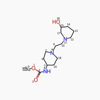 CC(C)(C)OC(=O)NC1CCN(CCN2CCCC(O)C2)CC1